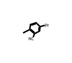 Cc1ccc(C(C)C)cc1C#N